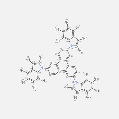 [2H]c1c([2H])c([2H])c2c(c1[2H])c([2H])c([2H])n2-c1ccc2c(c1)c1ccc(-n3c([2H])c([2H])c4c([2H])c([2H])c([2H])c([2H])c43)cc1c1ccc(-n3c([2H])c([2H])c4c([2H])c([2H])c([2H])c([2H])c43)cc21